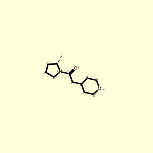 C[C@H]1CCCN1C(=O)CC1CCOCC1